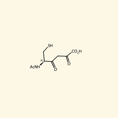 CC(=O)N[C@@H](CS)C(=O)CC(=O)C(=O)O